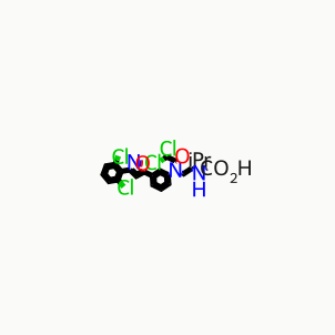 CC(C)C(CN(C(=O)C(Cl)Cl)c1cccc(-c2cc(-c3c(Cl)cccc3Cl)no2)c1)NC(=O)O